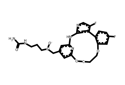 NC(=O)NCCC[S+]([O-])Cc1cc2nc(c1)OCCCOc1cc(F)ccc1-c1cc(ncc1F)N2